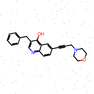 Oc1c(Cc2ccccc2)cnc2ccc(C#CCN3CCOCC3)cc12